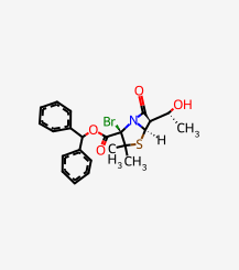 C[C@@H](O)[C@@H]1C(=O)N2[C@@H]1SC(C)(C)[C@]2(Br)C(=O)OC(c1ccccc1)c1ccccc1